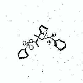 CC(OS(=O)(=O)c1ccccc1)C(C)(COS(=O)(=O)c1ccccc1)c1ccco1